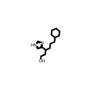 OCCC(CCCC1CCCCC1)c1c[nH]cn1